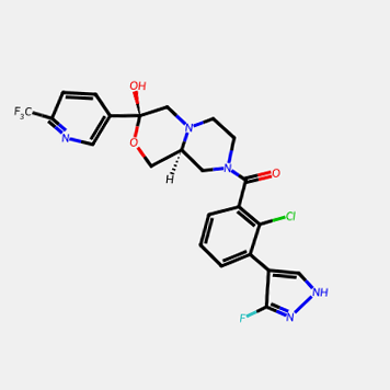 O=C(c1cccc(-c2c[nH]nc2F)c1Cl)N1CCN2C[C@@](O)(c3ccc(C(F)(F)F)nc3)OC[C@@H]2C1